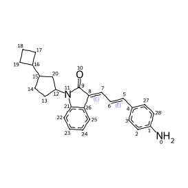 Nc1ccc(/C=C/C=C2/C(=O)N(C3CCC(C4CCC4)C3)c3ccccc32)cc1